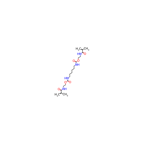 C=C(C)C(=O)NCCOC(=O)NCCCCCCNC(=O)OCCNC(=O)C(=C)C